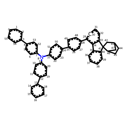 c1ccc(-c2ccc(N(c3ccc(-c4ccccc4)cc3)c3ccc(-c4ccc(-c5cccc6c5-c5ccccc5C65CC6CCC5C6)cc4)cc3)cc2)cc1